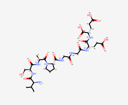 CC(C)[C@H](N)C(=O)N[C@@H](CO)C(=O)N[C@@H](C)C(=O)N1CCC[C@H]1C(=O)NCC(=O)NCC(=O)N[C@@H](CCC(=O)O)C(=O)N[C@@H](CCC(=O)O)C(=O)O